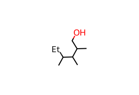 CCC(C)C(C)C(C)CO